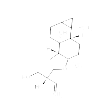 C=C[C@](O)(CO)[C@@H]1C[C@@H]2[C@@]3(C)CCC4C[C@@]4(C)[C@@H]3CC[C@@]2(C)O1